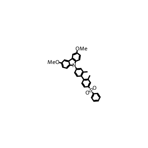 COc1ccc2c(c1)c1cc(OC)ccc1n2-c1ccc(-c2ccc(S(=O)(=O)c3ccccc3)cc2C)c(C)c1